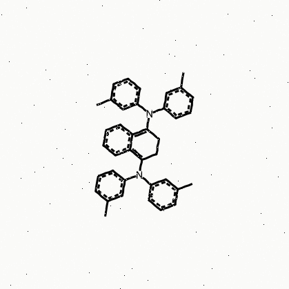 Cc1cccc(N(C2=c3ccccc3=C(N(c3cccc(C)c3)c3cccc(C)c3)CC2)c2cccc(C)c2)c1